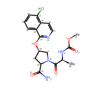 CC(C)OC(=O)N[C@H](C(=O)N1C[C@H](Oc2nccc3c(Cl)cccc23)CC1C(N)=O)C(C)(C)C